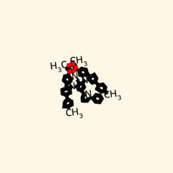 Cc1ccc(-c2ccc3c4ccc(-c5ccc(C)cc5)cc4n(-c4cc(-c5cccc(-c6ccccc6)n5)cc(-n5c6cc(-c7ccc(C)cc7)ccc6c6ccc(-c7ccc(C)cc7)cc65)c4C#N)c3c2)cc1